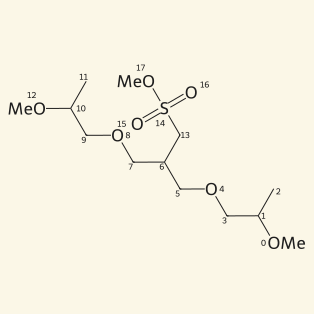 COC(C)COCC(COCC(C)OC)CS(=O)(=O)OC